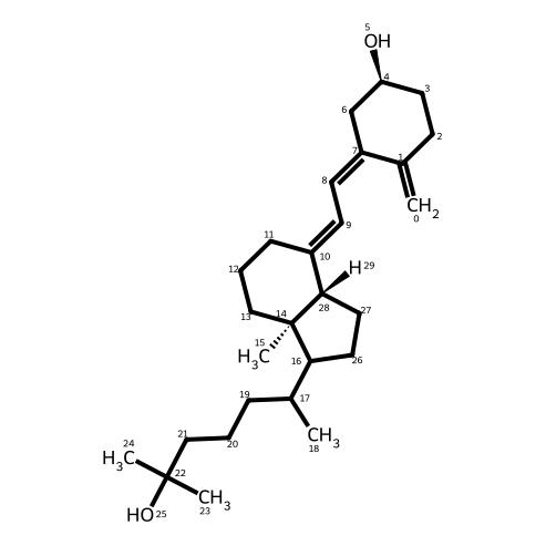 C=C1CC[C@H](O)C/C1=C/C=C1\CCC[C@]2(C)C(C(C)CCCC(C)(C)O)CC[C@@H]12